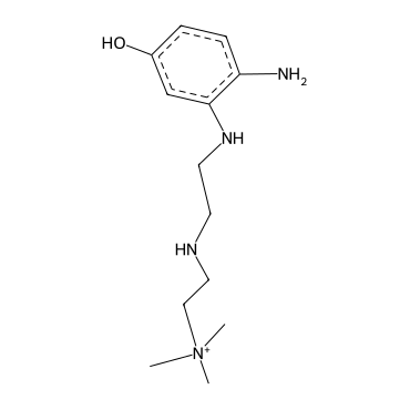 C[N+](C)(C)CCNCCNc1cc(O)ccc1N